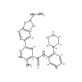 BNC1Cc2ccc(-c3cnc(N)c(C(=O)Nc4cnccc4N4CCOCC4)n3)cc2C1